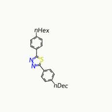 CCCCCCCCCCc1ccc(-c2nnc(-c3ccc(CCCCCC)cc3)s2)cc1